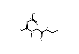 CCOC(=O)CN(C)/C(C)=C\C(C)=O